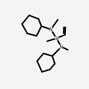 C=C[Si](C)(N(C)C1CCCCC1)N(C)C1CCCCC1